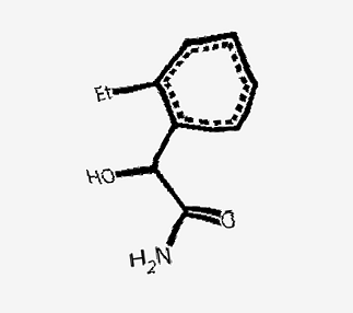 CCc1ccccc1C(O)C(N)=O